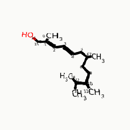 C/C(=C\C=C\CC(C)CCC(C)C(C)C)CO